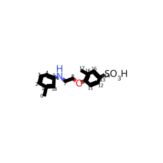 Cc1cccc(NCCOc2ccc(S(=O)(=O)O)cc2C)c1